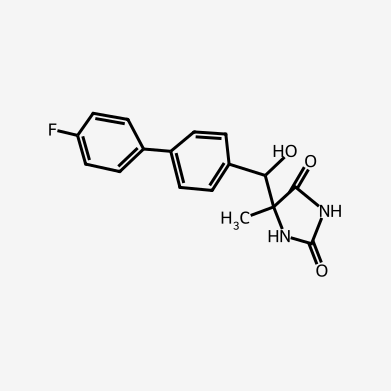 CC1(C(O)c2ccc(-c3ccc(F)cc3)cc2)NC(=O)NC1=O